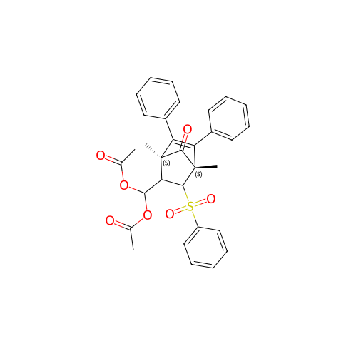 CC(=O)OC(OC(C)=O)C1C(S(=O)(=O)c2ccccc2)[C@]2(C)C(=O)[C@]1(C)C(c1ccccc1)=C2c1ccccc1